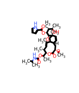 CO[C@H]1C[C@H]2C=C[C@]3(C)C[C@]2(O[C@H]3[C@H](OC(=O)c2ccc[nH]2)[C@H](C)[C@H](C)O)/C(C)=C/[C@@H](C)[C@@H]([C@@H](C)OC(=O)NC(C)C)OC1=O